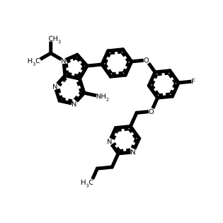 CCCc1ncc(COc2cc(F)cc(Oc3ccc(-c4cn(C(C)C)c5ncnc(N)c45)cc3)c2)cn1